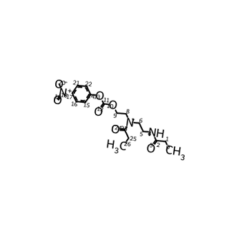 CCC(=O)NCCN(CCOC(=O)Oc1ccc([N+](=O)[O-])cc1)C(=O)CC